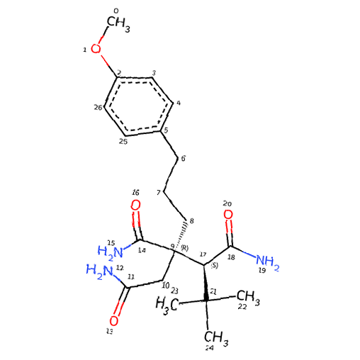 COc1ccc(CCC[C@](CC(N)=O)(C(N)=O)[C@@H](C(N)=O)C(C)(C)C)cc1